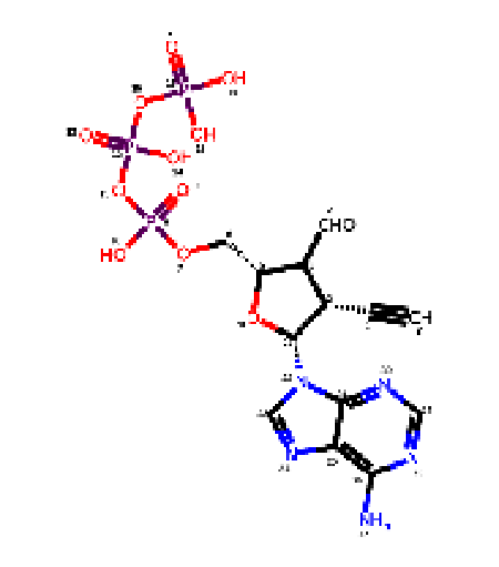 C#C[C@H]1C(C=O)[C@@H](COP(=O)(O)OP(=O)(O)OP(=O)(O)O)O[C@H]1n1cnc2c(N)ncnc21